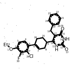 CCOc1ccc(C2=CCC(c3[nH]c(=O)[nH]c(=O)c3Cc3ccccc3)CC2)c(Cl)c1F